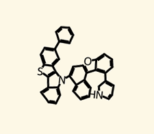 C1=CNCC(c2cccc3oc4cc(-n5c6ccccc6c6sc7ccc(-c8ccccc8)cc7c65)c5ccccc5c4c23)=C1